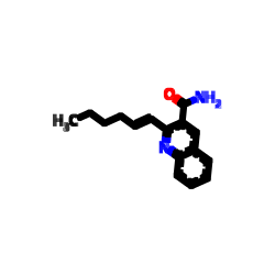 CCCCC=Cc1nc2ccccc2cc1C(N)=O